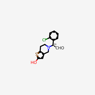 O=C[C@H](c1ccccc1Cl)N1CCc2sc(O)cc2C1